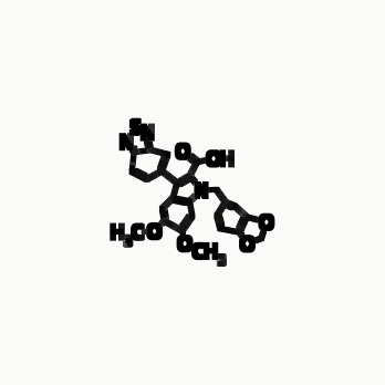 COc1cc2c(-c3ccc4nsnc4c3)c(C(=O)O)n(Cc3ccc4c(c3)OCO4)c2cc1OC